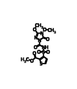 COC(=O)c1sccc1S(=O)(=O)NC(=O)n1nc(OC)n(OC)c1=O